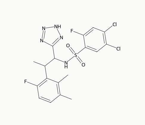 Cc1ccc(F)c(C(C)C(NS(=O)(=O)c2cc(Cl)c(Cl)cc2F)c2nn[nH]n2)c1C